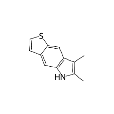 Cc1[nH]c2cc3ccsc3cc2c1C